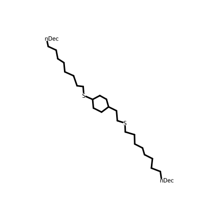 CCCCCCCCCCCCCCCCCCSCCC1CCC(SCCCCCCCCCCCCCCCCCC)CC1